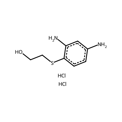 Cl.Cl.Nc1ccc(SCCO)c(N)c1